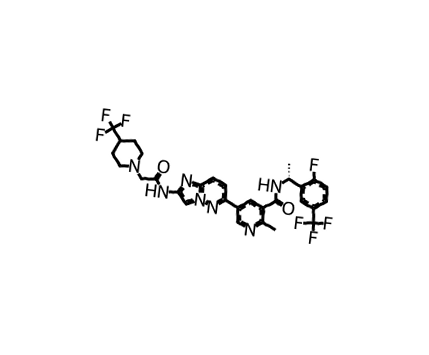 Cc1ncc(-c2ccc3nc(NC(=O)CN4CCC(C(F)(F)F)CC4)cn3n2)cc1C(=O)N[C@H](C)c1cc(C(F)(F)F)ccc1F